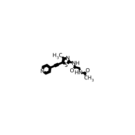 CC(=O)NCC(=O)Nc1nc(C)c(C#Cc2ccncc2)s1